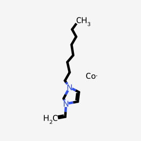 C=CN1C=CN(CCCCCCCC)C1.[Co]